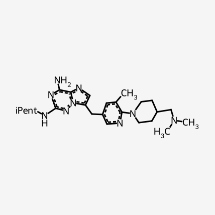 CCCC(C)Nc1nc(N)c2ncc(Cc3cnc(N4CCC(CN(C)C)CC4)c(C)c3)n2n1